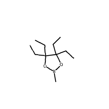 CCC1(CC)OB(C)OC1(CC)CC